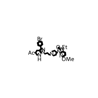 CCn1c(=O)n(C2CCN(CCCn3nc(-c4ccc(Br)cc4)c4c3NCC(C(C)=O)C4)CC2)c2nc(OC)ccc21